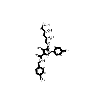 CC(C)c1c(C(=O)NCc2ccc(C(F)(F)F)cc2)nn(-c2ccc(F)cc2)c1OC[C@@H](O)C[C@@H](O)CC(=O)O